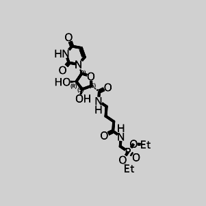 CCOP(=O)(CNC(=O)CCCNC(=O)[C@H]1O[C@@H](n2ccc(=O)[nH]c2=O)[C@H](O)[C@@H]1O)OCC